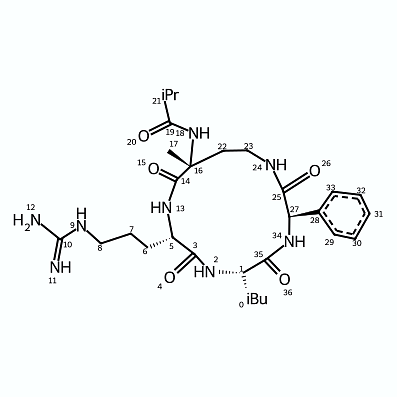 CC[C@@H](C)[C@@H]1NC(=O)[C@H](CCCNC(=N)N)NC(=O)[C@](C)(NC(=O)C(C)C)CCNC(=O)[C@@H](c2ccccc2)NC1=O